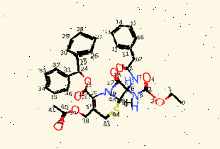 CCOC(=O)N[C@]1(NC(=O)Cc2ccccc2)C(=O)N2C(C(=O)OC(c3ccccc3)c3ccccc3)=C(COC(C)=O)CS[C@@H]21